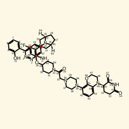 Nc1nnc(-c2ccccc2O)cc1N1C[C@H]2CC[C@@H](C1)N2c1cc(F)cc(OC2CCN(C(=O)CN3CCN(c4cccc5c4OCCN5[C@@H]4CCC(=O)NC4=O)CC3)CC2)c1